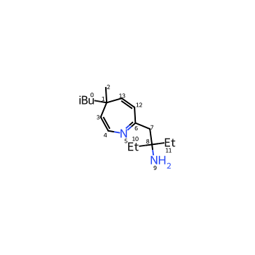 CCC(C)C1(C)C=CN=C(CC(N)(CC)CC)C=C1